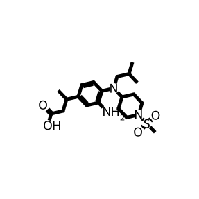 CC(C)CN(c1ccc(C(C)CC(=O)O)cc1N)C1CCN(S(C)(=O)=O)CC1